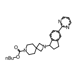 CCCCOC(=O)N1CCC2(CC1)CN(C1CCc3cc(-c4ncccn4)ccc31)C2